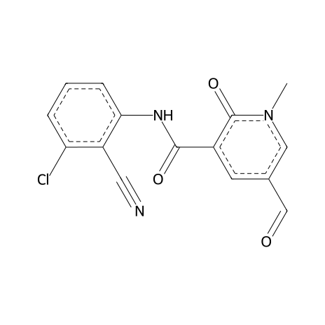 Cn1cc(C=O)cc(C(=O)Nc2cccc(Cl)c2C#N)c1=O